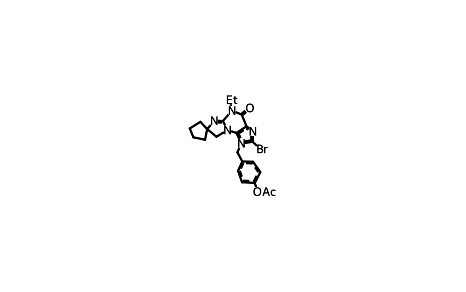 CCN1C(=O)c2nc(Br)n(Cc3ccc(OC(C)=O)cc3)c2N2CC3(CCCC3)N=C12